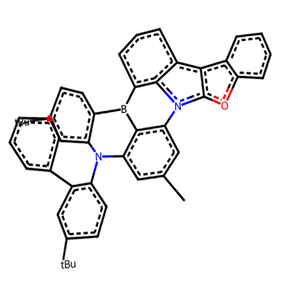 Cc1cc2c3c(c1)-n1c4oc5ccccc5c4c4cccc(c41)B3c1ccc(C(C)(C)C)cc1N2c1ccc(C(C)(C)C)cc1-c1ccccc1